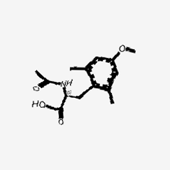 COc1cc(C)c(C[C@H](NC(C)=O)C(=O)O)c(C)c1